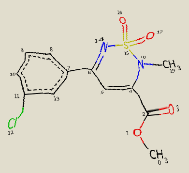 COC(=O)C1=CC(c2cccc(Cl)c2)=NS(=O)(=O)N1C